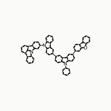 c1ccc(-n2c3ccc(-c4ccc5c(c4)oc4ccccc45)cc3c3cc(-c4ccc5c(c4)c4ccccc4n5-c4ccc5c6cccc7c8ccccc8n(c5c4)c76)ccc32)cc1